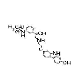 CS(=O)(=O)Nc1cccc([C@H](O)CNCCOc2ccc3c(c2)[nH]c2cc(O)ccc23)c1